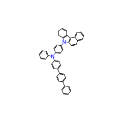 C1=Cc2c(n(-c3ccc(N(c4ccccc4)c4ccc(-c5ccc(-c6ccccc6)cc5)cc4)cc3)c3ccc4ccccc4c23)CC1